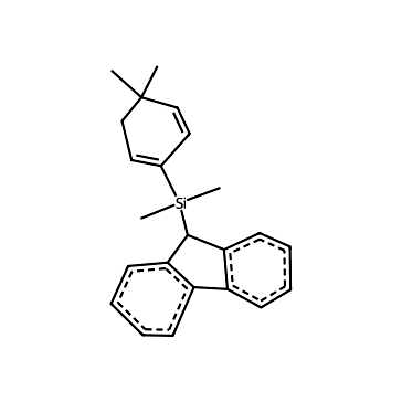 CC1(C)C=CC([Si](C)(C)C2c3ccccc3-c3ccccc32)=CC1